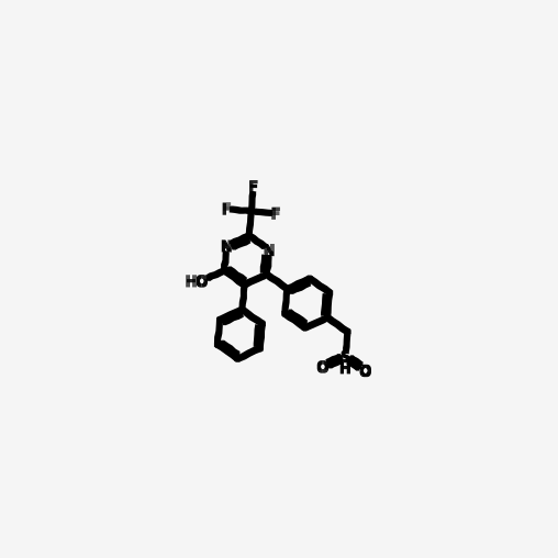 O=[SH](=O)Cc1ccc(-c2nc(C(F)(F)F)nc(O)c2-c2ccccc2)cc1